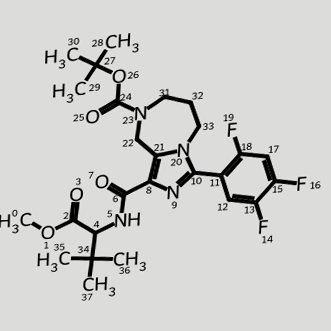 COC(=O)C(NC(=O)c1nc(-c2cc(F)c(F)cc2F)n2c1CN(C(=O)OC(C)(C)C)CCC2)C(C)(C)C